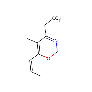 C/C=C\C1=C(C)C(CC(=O)O)=NCO1